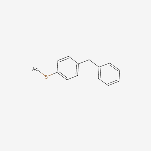 CC(=O)Sc1ccc(Cc2ccccc2)cc1